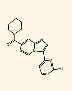 O=C(c1ccn2c(-c3cccc(Cl)c3)cnc2c1)N1CCCCC1